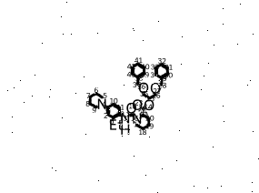 CCc1cc(N2CCCCC2)ccc1NC(=O)N1CCCC[C@H]1C(=O)OC(COCc1ccccc1)COCc1ccccc1